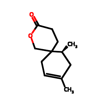 CC1=CCC2(CCC(=O)OC2)[C@@H](C)C1